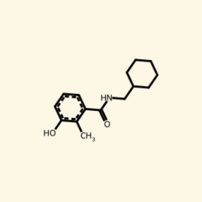 Cc1c(O)cccc1C(=O)NCC1CCCCC1